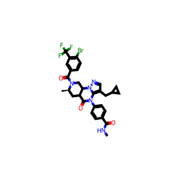 CNC(=O)c1ccc(N2C(=O)C3C[C@@H](C)N(C(=O)c4ccc(Br)c(C(F)(F)F)c4)CC3n3ncc(CC4CC4)c32)cc1